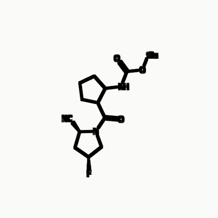 CC(C)(C)OC(=O)NC1CCCC1C(=O)N1C[C@@H](F)C[C@H]1C#N